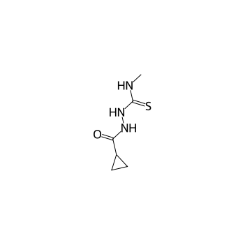 CNC(=S)NNC(=O)C1CC1